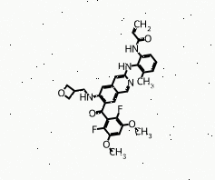 C=CC(=O)Nc1cccc(C)c1Nc1cc2cc(NCC3COC3)c(C(=O)c3c(F)c(OC)cc(OC)c3F)cc2cn1